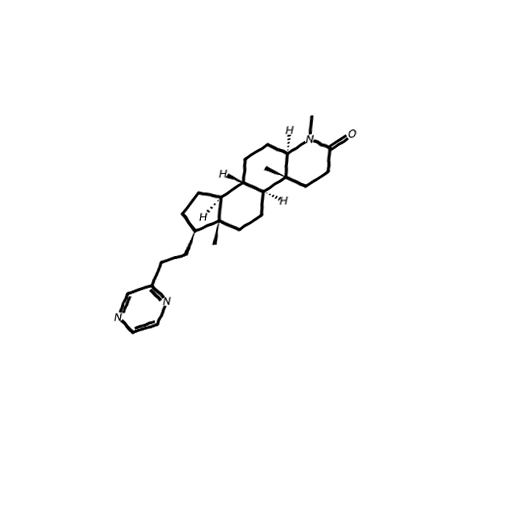 CN1C(=O)CC[C@]2(C)[C@H]3CC[C@]4(C)[C@@H](CCc5cnccn5)CC[C@H]4[C@@H]3CC[C@@H]12